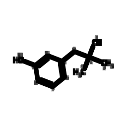 CC(C)(C#N)Cc1cccc(O)c1